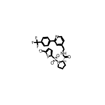 O=C(NCc1ccnc(-c2ccc(C(F)(F)F)cc2)c1)[C@@H]1CCCN1S(=O)(=O)c1ccc(Cl)s1